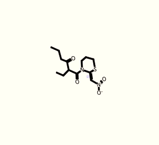 CCCC(=O)C(CC)C(=O)N1CCCS/C1=C\[N+](=O)[O-]